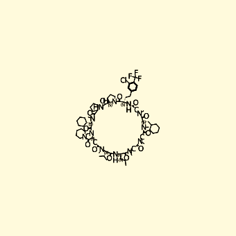 CC[C@H](C)[C@@H]1NC(=O)[C@H](C(C)C)N(C)C(=O)C[C@@H](C(=O)N2CCCCC2)N(C)C(=O)[C@H](C2CCCCC2)N(C)C(=O)C2(CCCC2)NC(=O)[C@@H]2CCCN2C(=O)[C@H](CCc2ccc(C(F)(F)F)c(Cl)c2)NC(=O)CN(C)C(=O)[C@H](CC2CCCCC2)N(C)C(=O)CN(C)C(=O)CN(C)C1=O